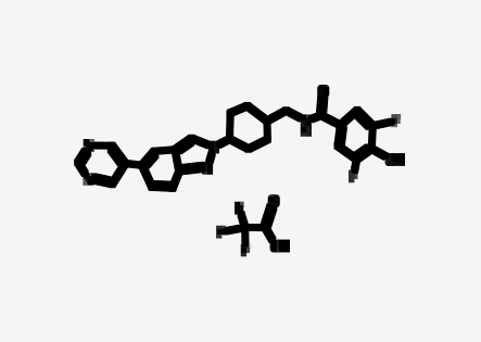 O=C(NCC1CCC(n2cc3cc(-c4cncnc4)ccc3n2)CC1)c1cc(F)c(O)c(F)c1.O=C(O)C(F)(F)F